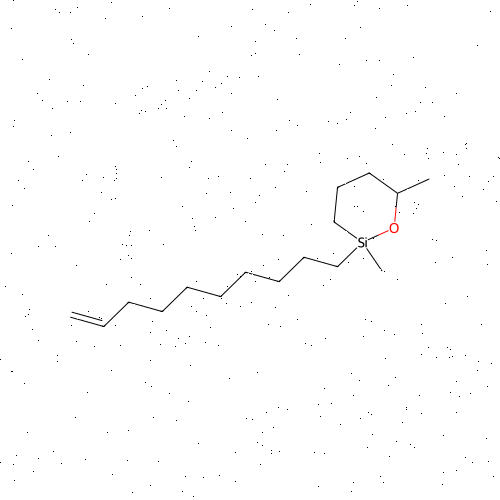 C=CCCCCCCCC[Si]1(C)CCCC(C)O1